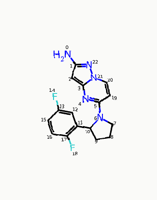 Nc1cc2nc(N3CCCC3c3cc(F)ccc3F)ccn2n1